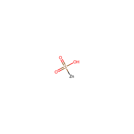 O=[S](=O)(O)[Zn]